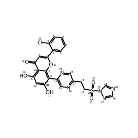 O=c1cc(-c2ccccc2Cl)oc2c(-c3cnc(CCS(=O)(=O)n4cncn4)cn3)c(O)cc(O)c12